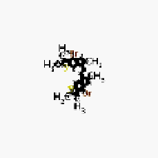 CC1=Cc2c(Br)c3c(cc2=C1CCC1=c2cc4c(c(Br)c2C=C1C)=C(C)C(C)S4)SC(C)C=3C